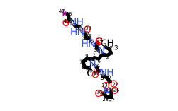 CC1CCCC(CCC2CCCC(C)N2CC(=O)NCCC(=O)ON2C(=O)CCC2=O)N1CC(=O)NCCC(=O)NCCNC(=O)CI